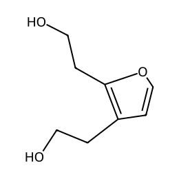 OCCc1ccoc1CCO